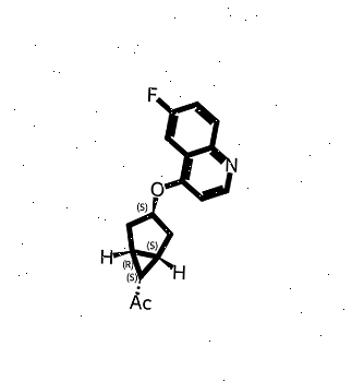 CC(=O)[C@@H]1[C@@H]2C[C@@H](Oc3ccnc4ccc(F)cc34)C[C@@H]21